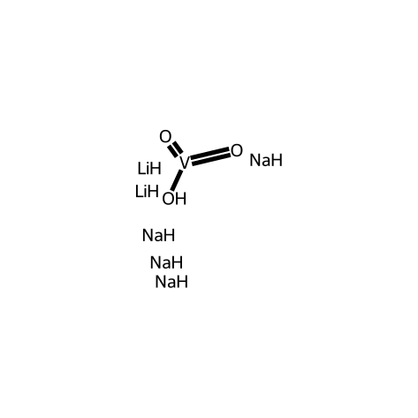 [LiH].[LiH].[NaH].[NaH].[NaH].[NaH].[O]=[V](=[O])[OH]